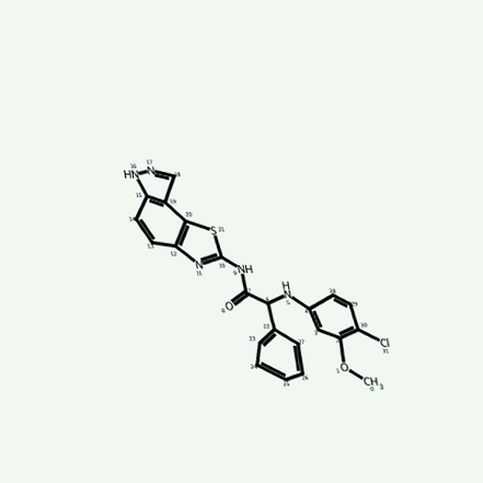 COc1cc(NC(C(=O)Nc2nc3ccc4[nH]ncc4c3s2)c2ccccc2)ccc1Cl